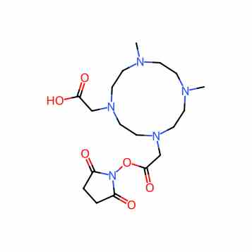 CN1CCN(C)CCN(CC(=O)ON2C(=O)CCC2=O)CCN(CC(=O)O)CC1